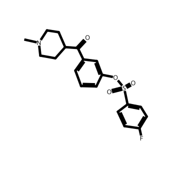 CN1CCC(C(=O)c2cccc(OS(=O)(=O)c3ccc(F)cc3)c2)CC1